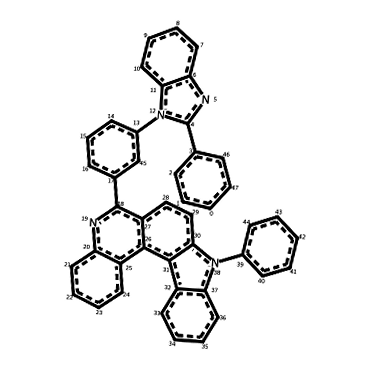 c1ccc(-c2nc3ccccc3n2-c2cccc(-c3nc4ccccc4c4c3ccc3c4c4ccccc4n3-c3ccccc3)c2)cc1